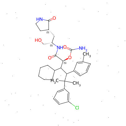 Cc1cccc(C(C(C2CCCCC2)[C@H](OC(N)=O)C(=O)N[C@H](CO)C[C@@H]2CCNC2=O)C(C)(C)c2cccc(Cl)c2)c1